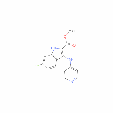 CC(C)(C)OC(=O)c1[nH]c2cc(F)ccc2c1Nc1ccncc1